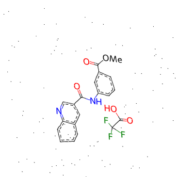 COC(=O)c1cccc(NC(=O)c2cnc3ccccc3c2)c1.O=C(O)C(F)(F)F